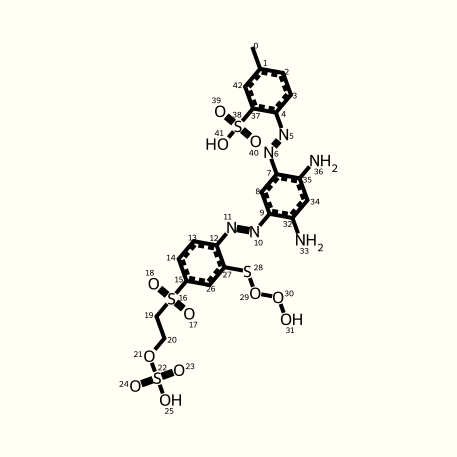 Cc1ccc(N=Nc2cc(N=Nc3ccc(S(=O)(=O)CCOS(=O)(=O)O)cc3SOOO)c(N)cc2N)c(S(=O)(=O)O)c1